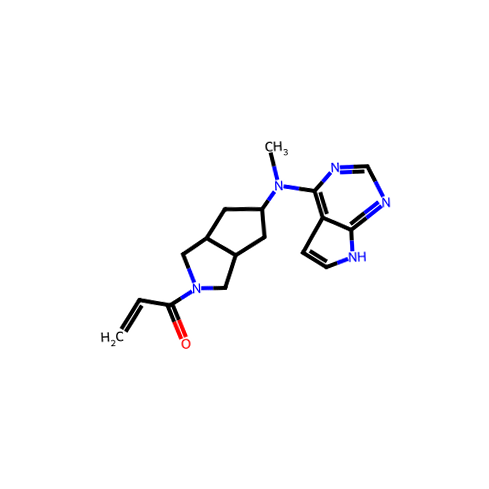 C=CC(=O)N1CC2CC(N(C)c3ncnc4[nH]ccc34)CC2C1